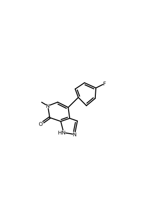 Cn1cc(-c2ccc(F)cc2)c2cn[nH]c2c1=O